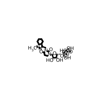 Cn1nc(Cn2c(=O)ccn([C@@H]3O[C@H](COP(=O)(O)OP(=O)(O)O)[C@H](O)[C@@H]3O)c2=O)c2ccccc21